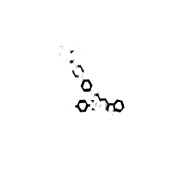 Cc1ccc(S(=O)(=O)NC(Cc2c[nH]c3ccccc23)C(=O)Nc2ccc(N3CCN(C(=O)OC(C)(C)C)CC3)cc2)cc1